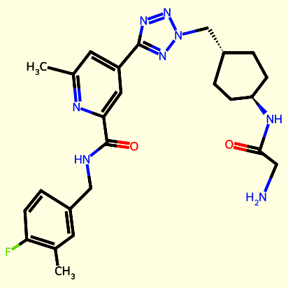 Cc1cc(-c2nnn(C[C@H]3CC[C@H](NC(=O)CN)CC3)n2)cc(C(=O)NCc2ccc(F)c(C)c2)n1